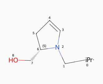 C[C](C)CN1C=CC[C@H]1CO